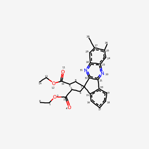 CCOC(=O)CCC1(CCC(=O)OCC)c2ccccc2-c2nc3cc(C)c(C)cc3nc21